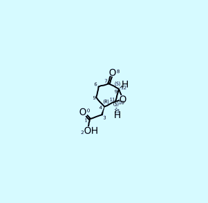 O=C(O)C[C@H]1CCC(=O)[C@H]2O[C@@H]12